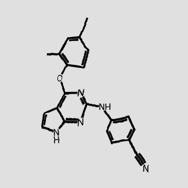 Cc1ccc(Oc2nc(Nc3ccc(C#N)cc3)nc3[nH]ccc23)c(C)c1